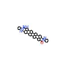 N=c1c2ccc3c4ccc5c6ccc7c8ccc9c%10c(ccc(c%11ccc(c%12ccc(c%13ccc(c2c%133)c2nc3ccccc3n12)c4c%125)c6c%117)c8%10)c(=O)n1c2ccccc2nc91